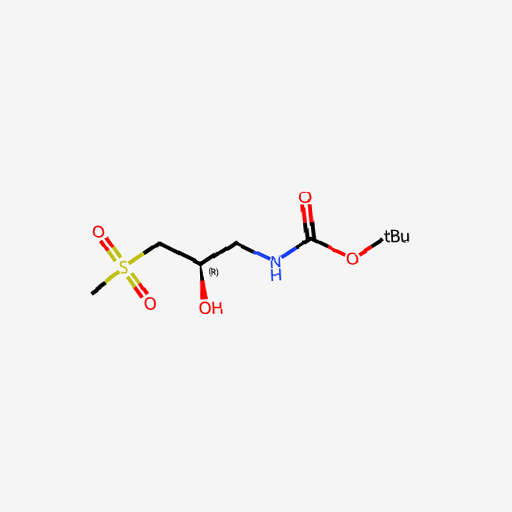 CC(C)(C)OC(=O)NC[C@@H](O)CS(C)(=O)=O